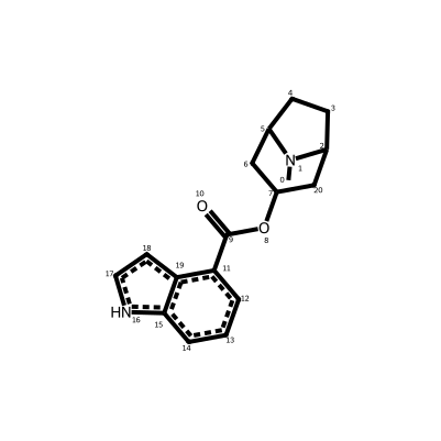 CN1C2CCC1CC(OC(=O)c1cccc3[nH]ccc13)C2